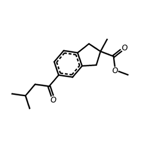 COC(=O)C1(C)Cc2ccc(C(=O)CC(C)C)cc2C1